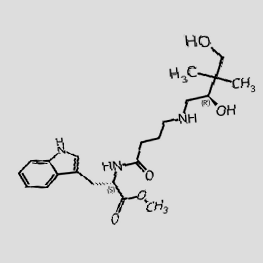 COC(=O)[C@H](Cc1c[nH]c2ccccc12)NC(=O)CCCNC[C@H](O)C(C)(C)CO